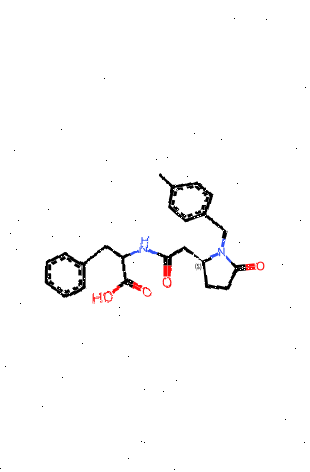 Cc1ccc(CN2C(=O)CC[C@H]2CC(=O)NC(Cc2ccccc2)C(=O)O)cc1